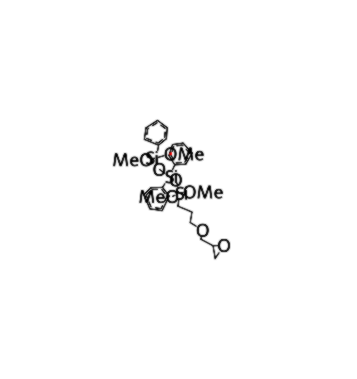 CO[Si](CCCOCC1CO1)(OC)O[Si](O[Si](OC)(OC)c1ccccc1)(c1ccccc1)c1ccccc1